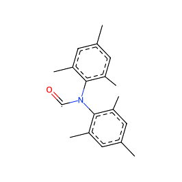 Cc1cc(C)c(N([C]=O)c2c(C)cc(C)cc2C)c(C)c1